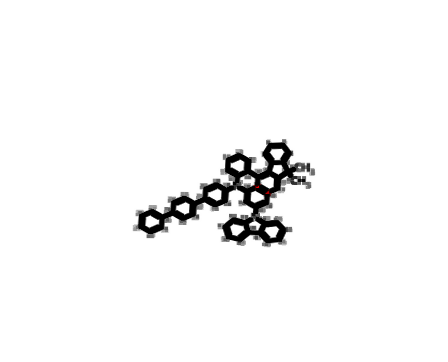 CC1(C)c2ccccc2-c2c(-c3ccccc3N(c3ccc(-c4ccc(-c5ccccc5)cc4)cc3)c3cccc(-n4c5ccccc5c5ccccc54)c3)cccc21